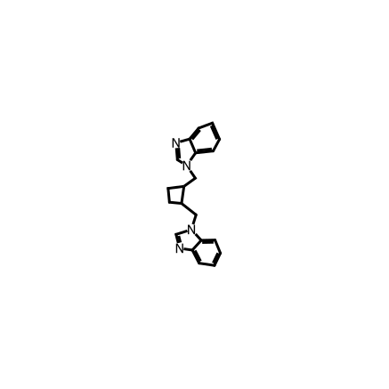 c1ccc2c(c1)ncn2CC1CCC1Cn1cnc2ccccc21